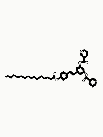 CCCCCCCCCCCCCCCC(=O)Oc1ccc(/C=C/c2cc(OC(=O)c3cccnc3)cc(OC(=O)c3cccnc3)c2)cc1